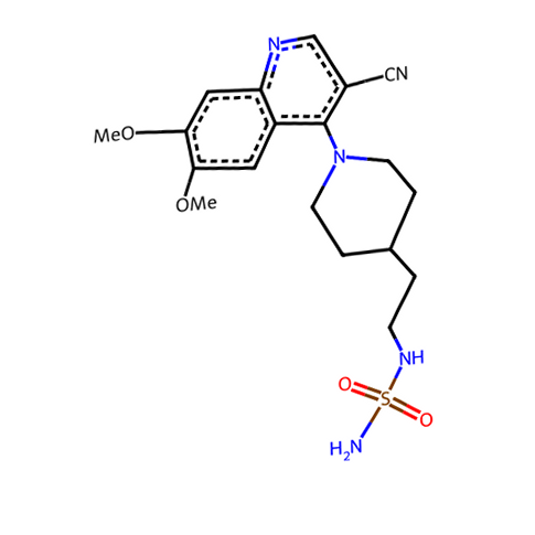 COc1cc2ncc(C#N)c(N3CCC(CCNS(N)(=O)=O)CC3)c2cc1OC